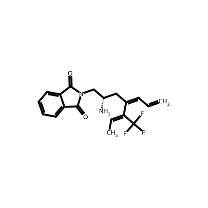 C=CC=C(C[C@H](N)CN1C(=O)c2ccccc2C1=O)C(=CC)C(F)(F)F